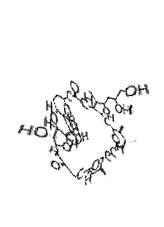 C=C1C[C@@H]2CCC(=O)C[C@@H]3O[C@H]4[C@@H](O)[C@H]5OC(CC[C@@H]5O[C@H]4[C@H]3O)CC(=O)C[C@@H]3[C@@H](C)[C@@H](C[C@H](O)CO)O[C@H]3CC3O[C@@H](CCC1O2)C[C@@H](C)C3=C